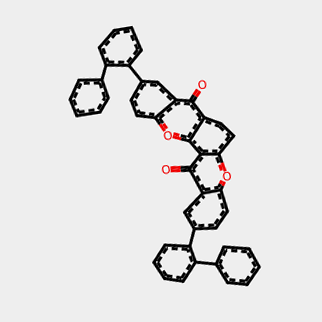 O=c1c2cc(-c3ccccc3-c3ccccc3)ccc2oc2c1ccc1oc3ccc(-c4ccccc4-c4ccccc4)cc3c(=O)c12